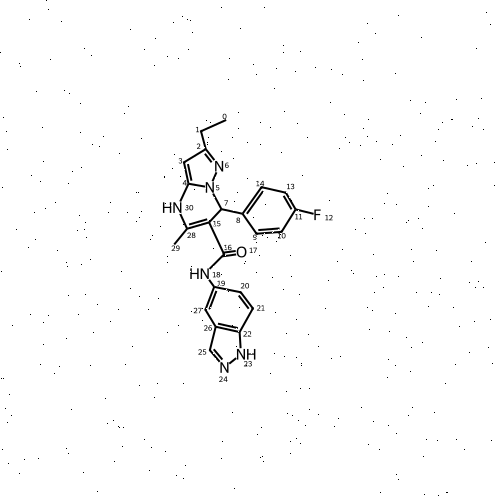 CCc1cc2n(n1)C(c1ccc(F)cc1)C(C(=O)Nc1ccc3[nH]ncc3c1)=C(C)N2